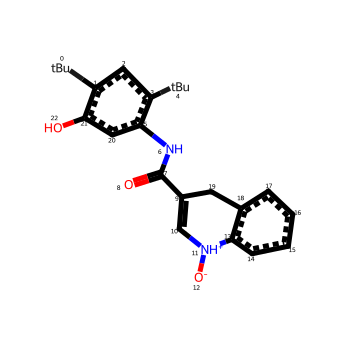 CC(C)(C)c1cc(C(C)(C)C)c(NC(=O)C2=C[NH+]([O-])c3ccccc3C2)cc1O